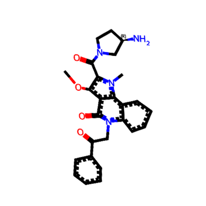 COc1c(C(=O)N2CC[C@@H](N)C2)n(C)c2c1c(=O)n(CC(=O)c1ccccc1)c1ccccc21